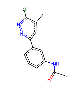 CC(=O)Nc1cccc(-c2cc(C)c(Cl)nn2)c1